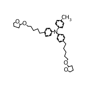 Cc1ccc(N(c2ccc(CCCCCOC3CCCO3)cc2)c2ccc(CCCCCOC3CCCO3)cc2)cc1